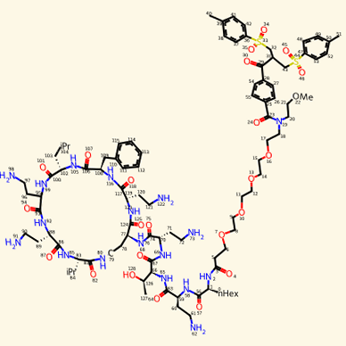 CCCCCC[C@H](NC(=O)CCOCCOCCOCCOCCN(CCOC)C(=O)c1ccc(C(=O)C(CS(=O)(=O)c2ccc(C)cc2)CS(=O)(=O)c2ccc(C)cc2)cc1)C(=O)N[C@@H](CCN)C(=O)N[C@H](C(=O)N[C@@H](CCN)C(=O)N[C@H]1CCNC(=O)[C@H](C(C)C)NC(=O)[C@H](CCN)NC(=O)C(CCN)NC(=O)[C@H](CC(C)C)NC(=O)[C@@H](Cc2ccccc2)NC(=O)[C@H](CCN)NC1=O)[C@@H](C)O